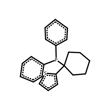 c1ccc(P(c2ccccc2)C2(c3cccs3)CCCCC2)cc1